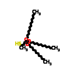 CCCCCCCCCCCCCCO[Si](CCC(C)S)(OCCCCCCCCCCCC)OCCCCCCCCCCCC